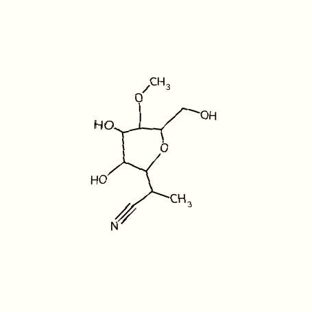 COC1C(CO)OC(C(C)C#N)C(O)C1O